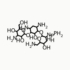 NCC1OC(OC2C(N)CC(N)C(OC3OC(CO)C(O)C(N)C3O)C2O)C(NPP)CC1O